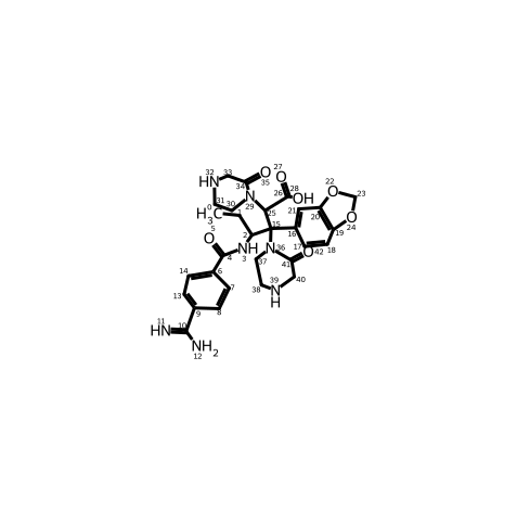 CCC(NC(=O)c1ccc(C(=N)N)cc1)C(c1ccc2c(c1)OCO2)(C(C(=O)O)N1CCNCC1=O)N1CCNCC1=O